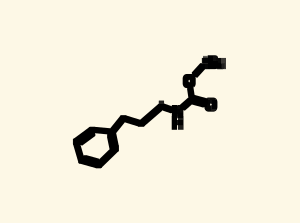 CC(C)(C)OC(=O)N[CH]CCc1ccccc1